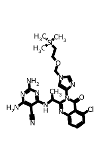 CC(Nc1nc(N)nc(N)c1C#N)c1nc2cccc(Cl)c2c(=O)n1-c1cn(COCC[Si](C)(C)C)cn1